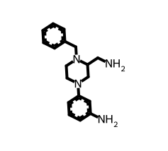 NCC1CN(c2cccc(N)c2)CCN1Cc1ccccc1